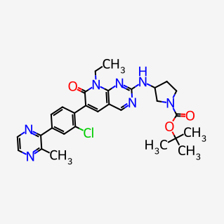 CCn1c(=O)c(-c2ccc(-c3nccnc3C)cc2Cl)cc2cnc(NC3CCN(C(=O)OC(C)(C)C)C3)nc21